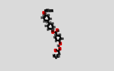 C=CC(=O)OCOc1ccc(C(=O)Oc2ccc(-c3ccc(OCCCCCC)cc3)cc2)cc1